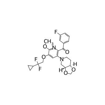 COc1nc(C(=O)c2cccc(F)c2)c(N2CC[C@H]3OCO[C@@H]3C2)cc1OCC(F)(F)C1CC1